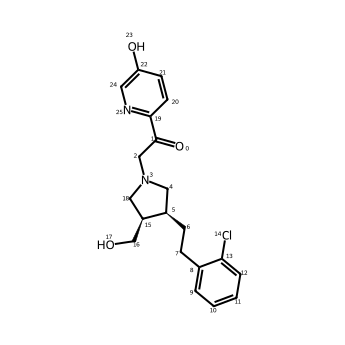 O=C(CN1C[C@@H](CCc2ccccc2Cl)[C@@H](CO)C1)c1ccc(O)cn1